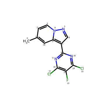 Cc1ccn2ncc(-c3nc(Cl)c(F)c(Cl)n3)c2c1